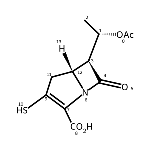 CC(=O)O[C@@H](C)[C@H]1C(=O)N2C(C(=O)O)=C(S)C[C@H]12